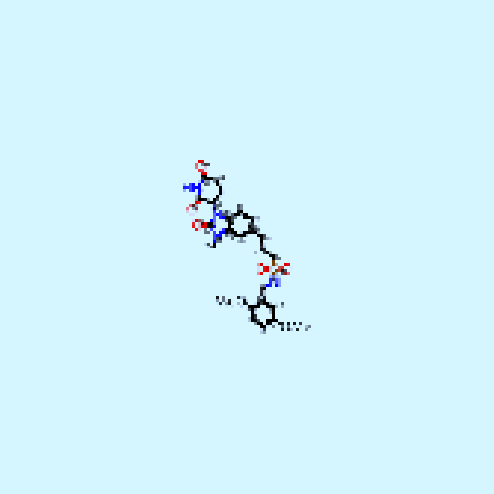 COc1ccc(OC)c(CNS(=O)(=O)CCCc2ccc3c(c2)n(C)c(=O)n3C2CCC(=O)NC2=O)c1